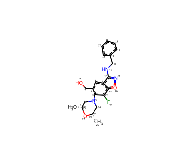 C[C@@H]1CN(c2c(CO)cc3c(NCc4ccccc4)noc3c2F)C[C@H](C)O1